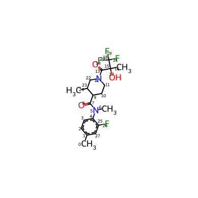 Cc1ccc(N(C)C(=O)C2CCN(C(=O)C(C)(O)C(F)(F)F)CC2C)c(F)c1